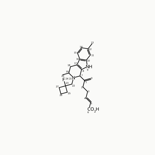 C=C(CC/C=C/C(=O)O)C1c2[nH]c3cc(C)ccc3c2CC(C)N1CC1(F)CCC1